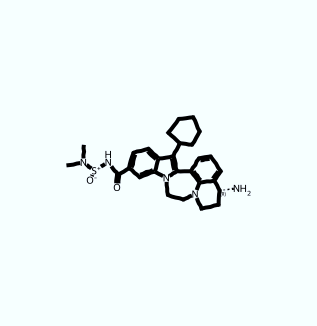 CN(C)[S+]([O-])NC(=O)c1ccc2c(C3CCCCC3)c3n(c2c1)CCN1CC[C@@H](N)c2cccc-3c21